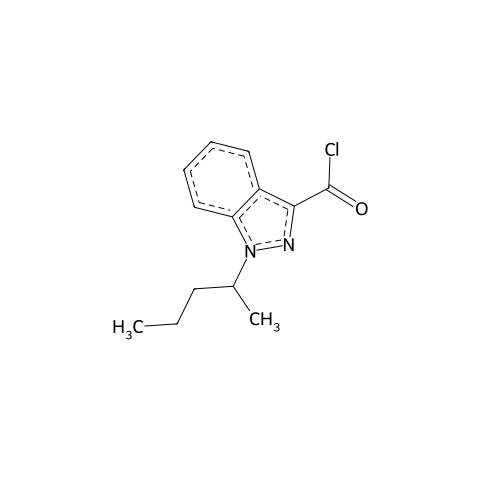 CCCC(C)n1nc(C(=O)Cl)c2ccccc21